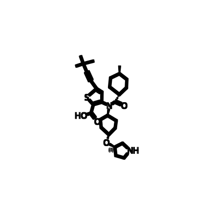 CC(C)(C)C#Cc1cc(N(C(=O)[C@H]2CC[C@H](C)CC2)[C@H]2CC[C@H](O[C@@H]3CCNC3)CC2)c(C(=O)O)s1